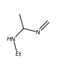 C=NC(C)NCC